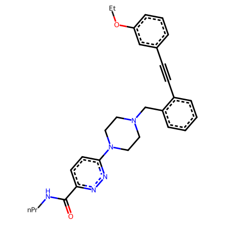 CCCNC(=O)c1ccc(N2CCN(Cc3ccccc3C#Cc3cccc(OCC)c3)CC2)nn1